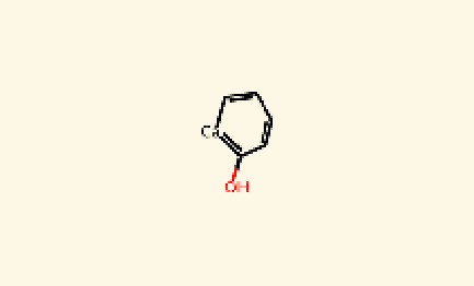 O[C]1=[Ga][CH]=CC=C1